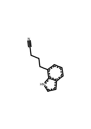 N#CCCCc1cccc2cc[nH]c12